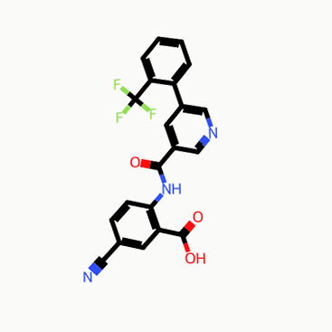 N#Cc1ccc(NC(=O)c2cncc(-c3ccccc3C(F)(F)F)c2)c(C(=O)O)c1